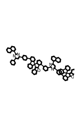 c1ccc(-c2cc(-c3ccc(-c4cccc5c4-c4ccccc4C54c5cccc(-c6cccc(-c7nc(-c8ccc(-c9cccc%10c9C9(c%11ccccc%11-c%11ccccc%119)c9c-%10oc%10ccccc9%10)cc8)cc(-c8cccc9ccccc89)n7)c6)c5-c5oc6ccccc6c54)cc3)nc(-c3cccc4ccccc34)n2)cc1